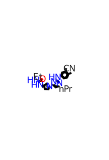 CCCc1cc(N2CC[C@H](NC(=O)NCC)C2)nc(Nc2ccc(C)c(C#N)c2)n1